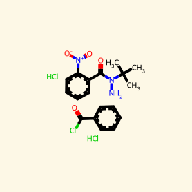 CC(C)(C)N(N)C(=O)c1ccccc1[N+](=O)[O-].Cl.Cl.O=C(Cl)c1ccccc1